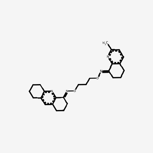 Cc1ccc2c(n1)/C(=N/OCCCO/N=C1\CCCc3cc4c(nc31)CCCC4)CCC2